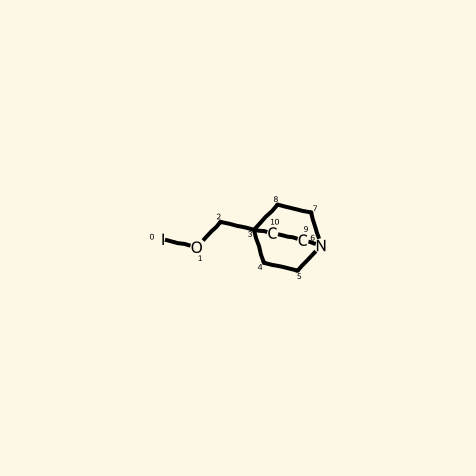 IOCC12CCN(CC1)CC2